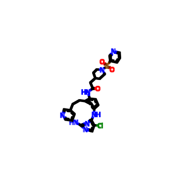 O=C(CC1CCN(S(=O)(=O)c2cccnc2)CC1)Nc1ccc2cc1CCc1cncc(c1)Nc1ncc(Cl)c(n1)N2